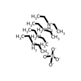 CC[NH2+]CC.CC[NH2+]CC.CC[NH2+]CC.CC[NH2+]CC.[O-][Ti]([O-])([O-])[O-]